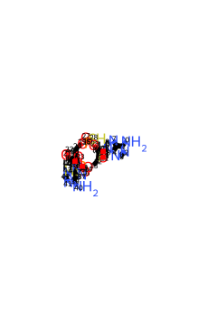 Nc1ncnc2c1ncn2[C@@H]1OC2CO[P@](=O)(S)O[C@H]3[C@H]4OC[C@]3(CO[P@](=O)(S)O[C@@H]1[C@H]2F)O[C@H]4n1cnc2c(N)ncnc21